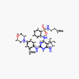 COCCNS(=O)(=O)c1ccccc1Nc1nc(Nc2ccc(N3CCOCC3)cc2OC)nc2c1C(C)(C)CN2